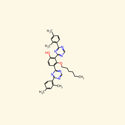 CCCCCCOc1c(-c2ncnc(-c3ccc(C)cc3C)n2)ccc(O)c1-c1ncnc(-c2ccc(C)cc2C)n1